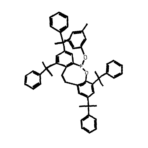 Cc1cc(C)cc(OP2Oc3c(cc(C(C)(C)c4ccccc4)cc3C(C)(C)c3ccccc3)CCc3c2cc(C(C)(C)c2ccccc2)cc3C(C)(C)c2ccccc2)c1